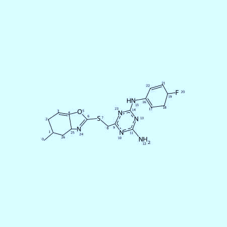 CC1CC=C2OC(SCc3nc(N)nc(NC4=CCC(F)C=C4)n3)=NC2C1